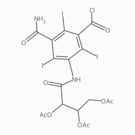 CC(=O)OCC(OC(C)=O)C(OC(C)=O)C(=O)Nc1c(I)c(C(N)=O)c(I)c(C(=O)Cl)c1I